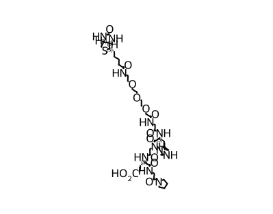 O=C(O)CC[C@H](NC(=O)CNC(=O)[C@H](Cc1c[nH]cn1)NC(=O)CNC(=O)COCCOCCOCCNC(=O)CCCC[C@@H]1SC[C@@H]2NC(=O)N[C@@H]21)C(=O)NCC(=O)N1CCCC1